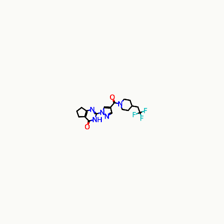 O=C(c1cnn(-c2nc3c(c(=O)[nH]2)CCC3)c1)N1CCC(CC(F)(F)F)CC1